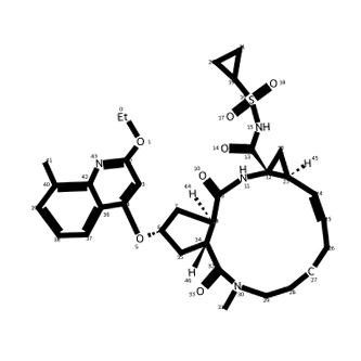 CCOc1cc(O[C@@H]2C[C@H]3C(=O)N[C@]4(C(=O)NS(=O)(=O)C5CC5)C[C@H]4/C=C\CCCCN(C)C(=O)[C@@H]3C2)c2cccc(C)c2n1